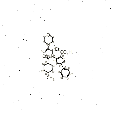 CC[C@@H](C(=O)N1CCOCC1)N(c1cc(-c2ccccc2)sc1C(=O)O)C(=O)[C@H]1CC[C@H](C)CC1